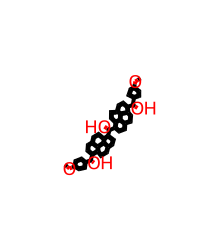 COc1ccc(C(O)c2ccc3ccc4c(C(O)c5ccc6ccc7c(C(O)c8ccc(OC)cc8)ccc8ccc5c6c87)ccc5ccc2c3c54)cc1